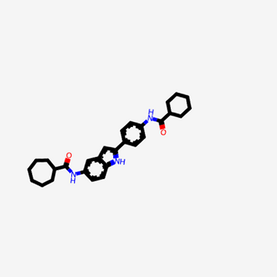 O=C(Nc1ccc2[nH]c(-c3ccc(NC(=O)C4CCCCC4)cc3)cc2c1)C1CCCCCC1